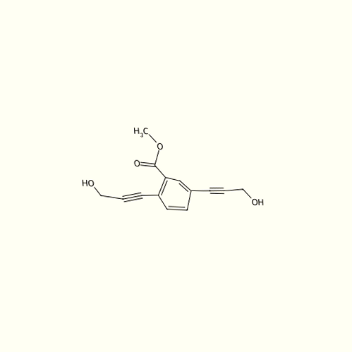 COC(=O)c1cc(C#CCO)ccc1C#CCO